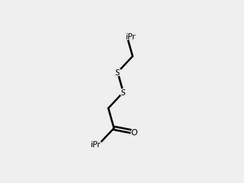 CC(C)CSSCC(=O)C(C)C